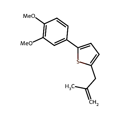 C=C(C)Cc1ccc(-c2ccc(OC)c(OC)c2)s1